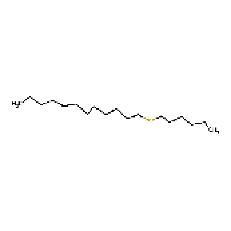 CCCCCCCCCCC[CH]SCCCCCC